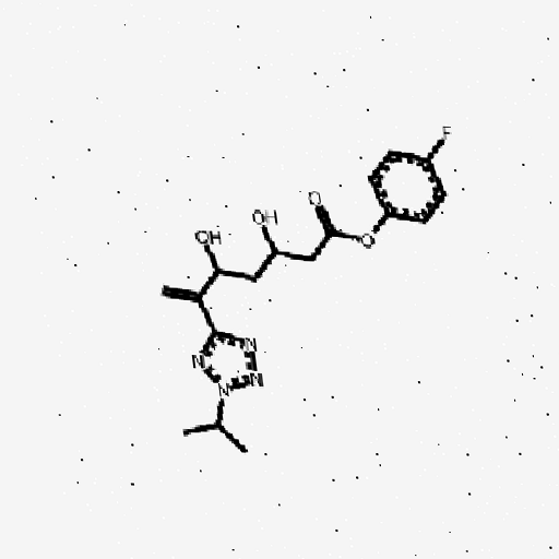 C=C(c1nnn(C(C)C)n1)C(O)CC(O)CC(=O)Oc1ccc(F)cc1